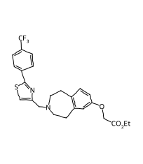 CCOC(=O)COc1ccc2c(c1)CCN(Cc1csc(-c3ccc(C(F)(F)F)cc3)n1)CC2